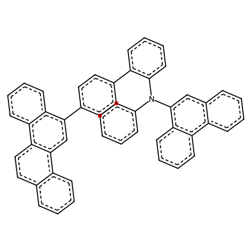 c1ccc(N(c2ccccc2-c2ccc(-c3cc4c5ccccc5ccc4c4ccccc34)cc2)c2cc3ccccc3c3ccccc23)cc1